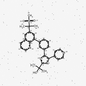 CC(C)(O)c1nc(-c2ccncc2)c(-c2cccc(-c3cc(C(C)(C)S(C)(=O)=O)cc4cccnc34)c2)s1